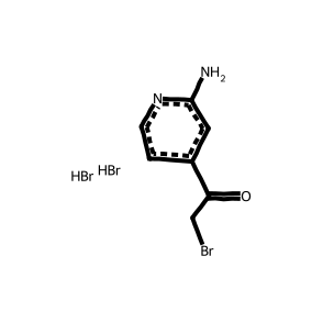 Br.Br.Nc1cc(C(=O)CBr)ccn1